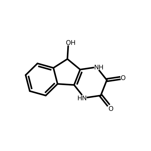 O=c1[nH]c2c([nH]c1=O)C(O)c1ccccc1-2